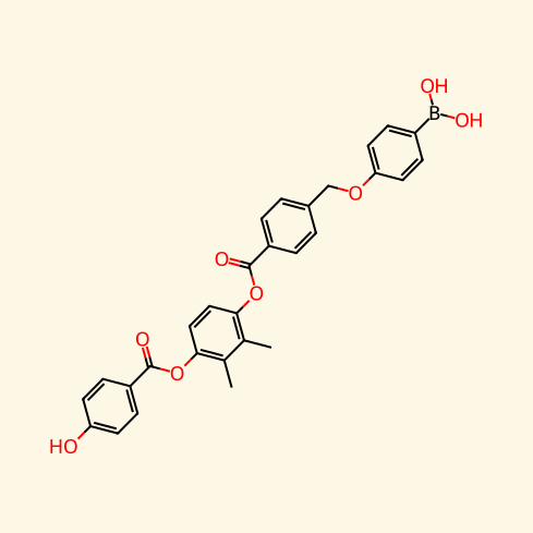 Cc1c(OC(=O)c2ccc(O)cc2)ccc(OC(=O)c2ccc(COc3ccc(B(O)O)cc3)cc2)c1C